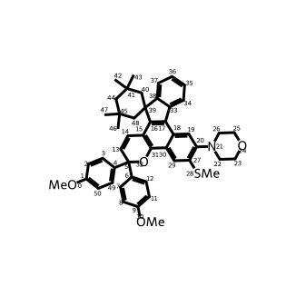 COc1ccc(C2(c3ccc(OC)cc3)C=Cc3c4c(c5cc(N6CCOCC6)c(SC)cc5c3O2)-c2ccccc2C42CC(C)(C)CC(C)(C)C2)cc1